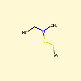 [CH2]N(CC#N)SSC(C)C